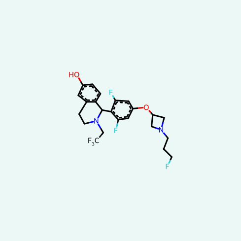 Oc1ccc2c(c1)CCN(CC(F)(F)F)C2c1c(F)cc(OC2CN(CCCF)C2)cc1F